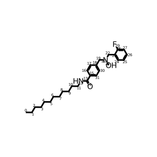 CCCCCCCCCCCCNC(=O)c1ccc(CN(O)Cc2ccccc2F)cc1